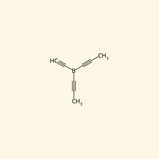 C#CB(C#CC)C#CC